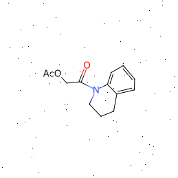 CC(=O)OCC(=O)N1CCCc2cc[c]cc21